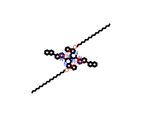 CCCCCCCCCCCCCCCCCCCCOc1ccc(-c2c3/c(=C(\C#N)c4cnc5cc(-c6ccc7ccccc7c6)ccc5n4)n(B(c4ccccc4)c4ccccc4)c(-c4ccc(OCCCCCCCCCCCCCCCCCCCC)cc4)c3/c(=C(\C#N)c3cnc4cc(-c5ccc6ccccc6c5)ccc4n3)n2B(c2ccccc2)c2ccccc2)cc1